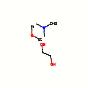 CCOCC.CN(C)C=O.OCCO